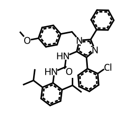 COc1ccc(Cn2c(-c3ccccc3)nc(-c3ccccc3Cl)c2NC(=O)Nc2c(C(C)C)cccc2C(C)C)cc1